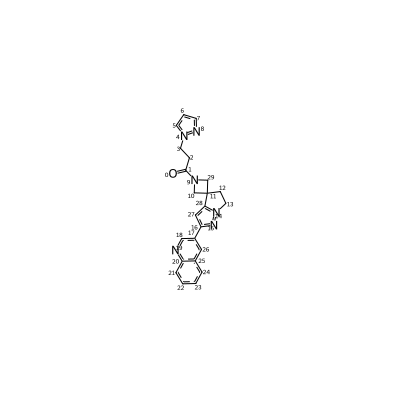 O=C(CCn1cccn1)N1CC2(CCn3nc(-c4cnc5ccccc5c4)cc32)C1